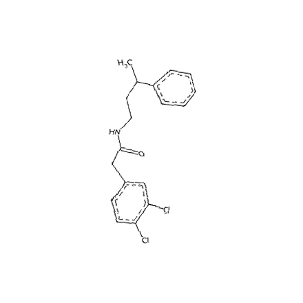 CC(CCNC(=O)Cc1ccc(Cl)c(Cl)c1)c1ccccc1